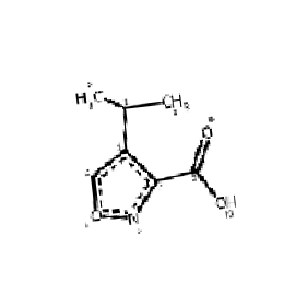 CC(C)c1conc1C(=O)O